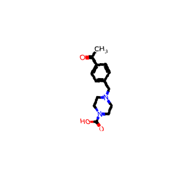 CC(=O)c1ccc(CN2CCN(C(=O)O)CC2)cc1